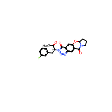 CNC(=O)[C@H](Cc1cccc(F)c1)n1nnc2cc3c(cc2c1=O)OC1CCCN1C3=O